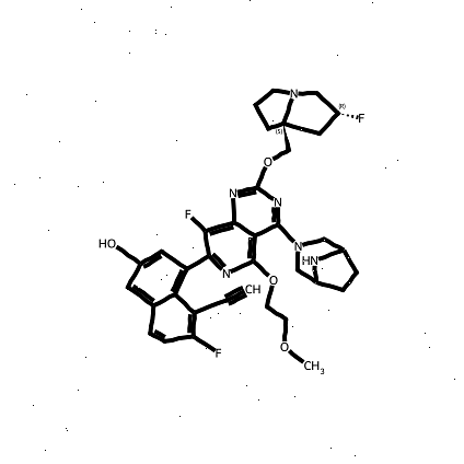 C#Cc1c(F)ccc2cc(O)cc(-c3nc(OCCOC)c4c(N5CC6CCC(C5)N6)nc(OC[C@@]56CCCN5C[C@H](F)C6)nc4c3F)c12